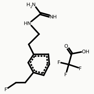 N=C(N)NCCc1cccc(CCF)c1.O=C(O)C(F)(F)F